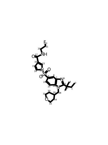 CCC(C)(C)c1nc2cc(S(=O)(=O)n3ccc(C(=O)NCCF)c3)ccc2n1CC1CCOCC1